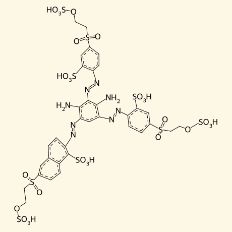 Nc1c(/N=N/c2ccc(S(=O)(=O)CCOS(=O)(=O)O)cc2S(=O)(=O)O)cc(/N=N/c2ccc3cc(S(=O)(=O)CCOS(=O)(=O)O)ccc3c2S(=O)(=O)O)c(N)c1/N=N/c1ccc(S(=O)(=O)CCOS(=O)(=O)O)cc1S(=O)(=O)O